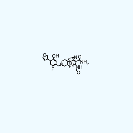 N#CCC1(n2cc(C(N)=O)c(NC=O)n2)CCN(Cc2cc(O)c(-c3ccoc3)cc2F)CC1F